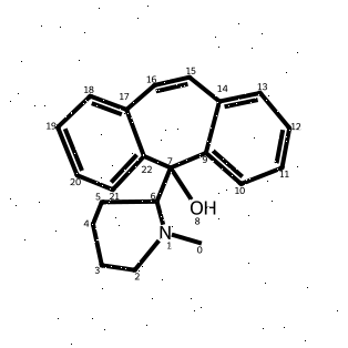 CN1CCCCC1C1(O)c2ccccc2C=Cc2ccccc21